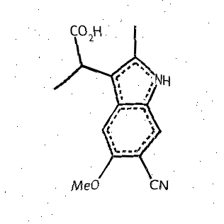 COc1cc2c(C(C)C(=O)O)c(C)[nH]c2cc1C#N